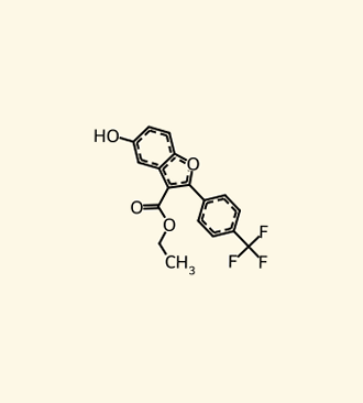 CCOC(=O)c1c(-c2ccc(C(F)(F)F)cc2)oc2ccc(O)cc12